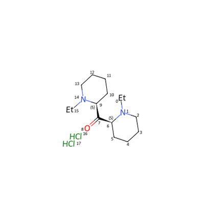 CCN1CCCC[C@H]1C(=O)[C@@H]1CCCCN1CC.Cl.Cl